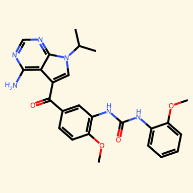 COc1ccccc1NC(=O)Nc1cc(C(=O)c2cn(C(C)C)c3ncnc(N)c23)ccc1OC